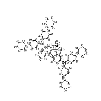 C[Si](C)(C)C1([Si](C)(C)C)c2cc(N(c3ccc(C4CCCCC4)cc3)c3ccc(C4CCCCC4)cc3)ccc2-c2c1cc(N(c1ccc(C3CCCCC3)cc1)c1ccc(C3CCCCC3)cc1)c1ccccc21